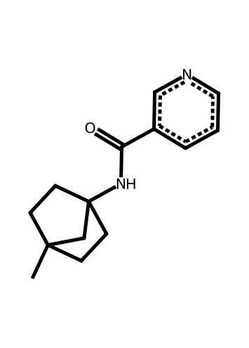 CC12CCC(NC(=O)c3cccnc3)(CC1)C2